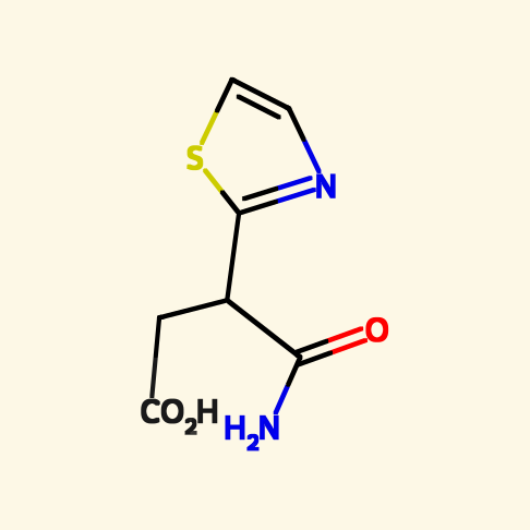 NC(=O)C(CC(=O)O)c1nccs1